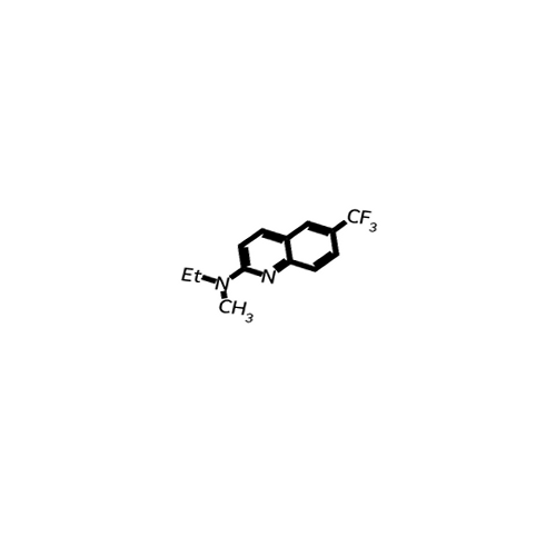 CCN(C)c1ccc2cc(C(F)(F)F)ccc2n1